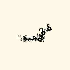 CS(=O)(=O)CCOCCc1nc(-c2ccc3ncnc(Nc4ccc(OCc5cccc(F)c5)c(Cl)c4)c3c2)cs1